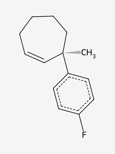 C[C@]1(c2ccc(F)cc2)C=CCCCC1